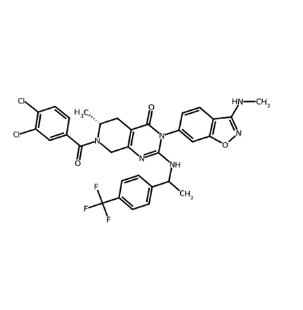 CNc1noc2cc(-n3c(NC(C)c4ccc(C(F)(F)F)cc4)nc4c(c3=O)C[C@@H](C)N(C(=O)c3ccc(Cl)c(Cl)c3)C4)ccc12